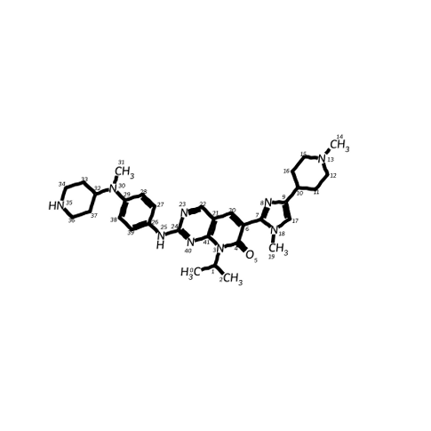 CC(C)n1c(=O)c(-c2nc(C3CCN(C)CC3)cn2C)cc2cnc(Nc3ccc(N(C)C4CCNCC4)cc3)nc21